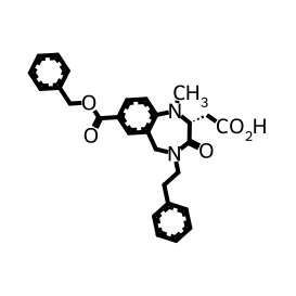 CN1c2ccc(C(=O)OCc3ccccc3)cc2CN(CCc2ccccc2)C(=O)[C@H]1CC(=O)O